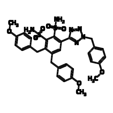 COc1ccc(Cc2cc(-c3nnn(Cc4ccc(OC)cc4)n3)c(S(N)(=O)=O)c(S(N)(=O)=O)c2Cc2ccc(OC)cc2)cc1